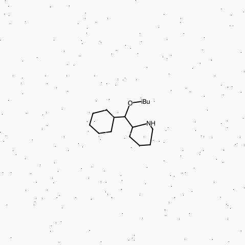 CCC(C)OC(C1CCCCC1)C1CCCCN1